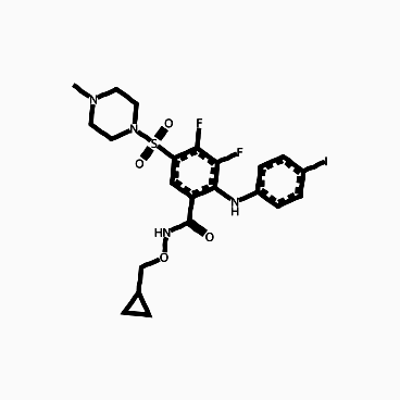 CN1CCN(S(=O)(=O)c2cc(C(=O)NOCC3CC3)c(Nc3ccc(I)cc3)c(F)c2F)CC1